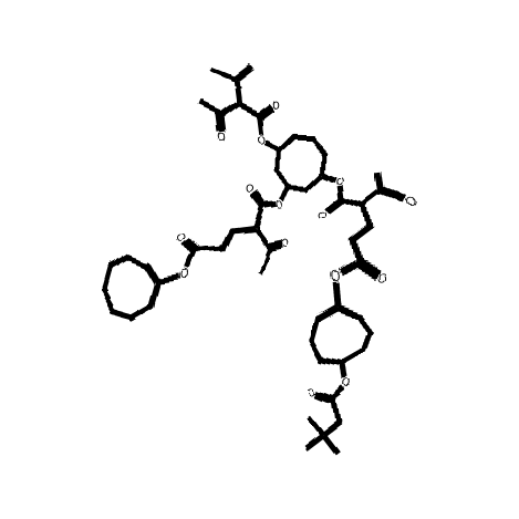 CC(=O)C(CCC(=O)OC1CCCC(OC(=O)CC(C)(C)C)CCC1)C(=O)OC1CCCC(OC(=O)C(C(C)=O)C(C)C)CC(OC(=O)C(CCC(=O)OC2CCCCCCC2)C(C)=O)C1